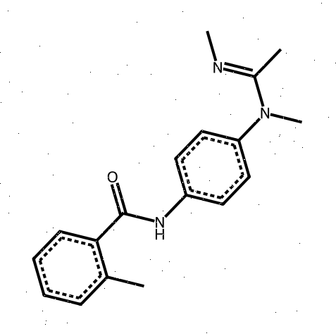 CN=C(C)N(C)c1ccc(NC(=O)c2ccccc2C)cc1